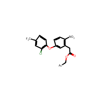 CC(=O)COC(=O)Cc1cc(Oc2ccc(C(F)(F)F)cc2Cl)ccc1[N+](=O)[O-]